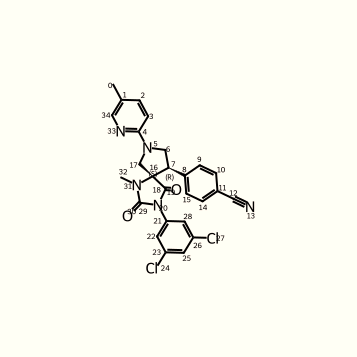 Cc1ccc(N2C[C@@H](c3ccc(C#N)cc3)[C@]3(C2)C(=O)N(c2cc(Cl)cc(Cl)c2)C(=O)N3C)nc1